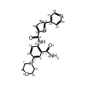 NC(=O)c1cc(N2CCOCC2)ccc1NC(=O)c1csc(-c2ccncc2)n1